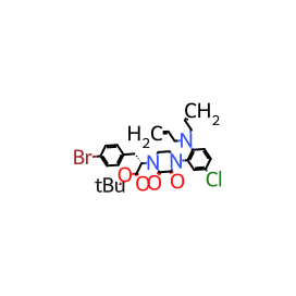 C=CCN(CC=C)c1ccc(Cl)cc1N1CCN([C@@H](Cc2ccc(Br)cc2)C(=O)OC(C)(C)C)C(=O)C1=O